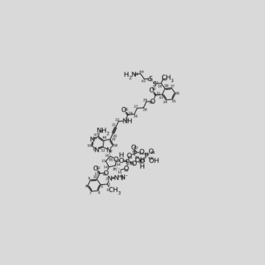 CC(N=[N+]=[N-])c1ccccc1C(=O)OC1C[C@H](n2cc(C#CCNC(=O)CCCCOC(=O)c3ccccc3C(C)SSCCN)c3c(N)ncnc32)O[C@@H]1COP(=O)(O)OP(=O)(O)OP(=O)(O)O